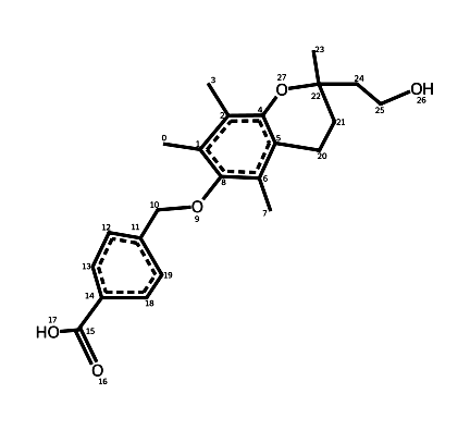 Cc1c(C)c2c(c(C)c1OCc1ccc(C(=O)O)cc1)CCC(C)(CCO)O2